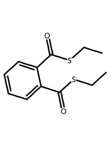 CCSC(=O)c1ccccc1C(=O)SCC